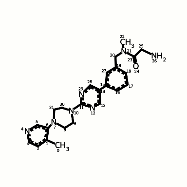 Cc1ccncc1N1CCN(c2ncc(-c3cccc(CN(C)C(=O)CN)c3)cn2)CC1